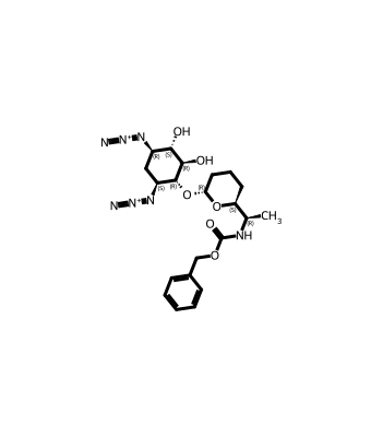 C[C@@H](NC(=O)OCc1ccccc1)[C@@H]1CCC[C@@H](O[C@H]2[C@H](O)[C@@H](O)[C@H](N=[N+]=[N-])C[C@@H]2N=[N+]=[N-])O1